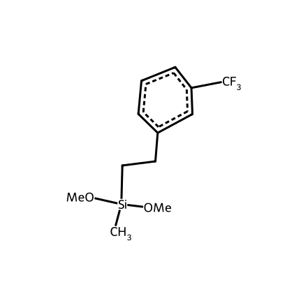 CO[Si](C)(CCc1cccc(C(F)(F)F)c1)OC